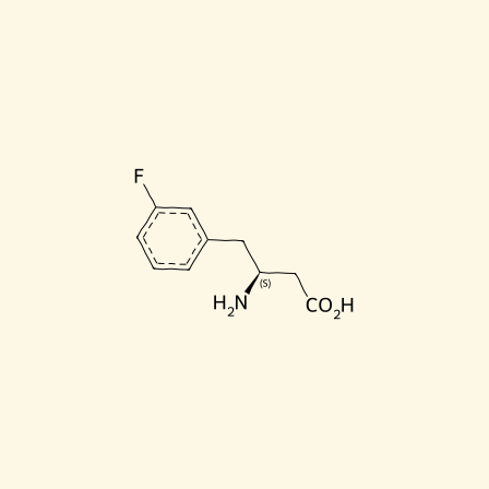 N[C@H](CC(=O)O)Cc1cccc(F)c1